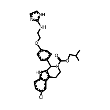 CC(C)COC(=O)N1CCc2c([nH]c3ccc(Cl)cc23)C1c1ccc(OCCNc2ncc[nH]2)cc1